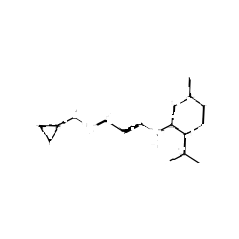 CC1CCC(C(C)C)C(N/C=C/COCC2CC2)C1